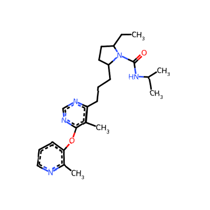 CCC1CCC(CCCc2ncnc(Oc3cccnc3C)c2C)N1C(=O)NC(C)C